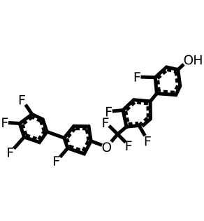 Oc1ccc(-c2cc(F)c(C(F)(F)Oc3ccc(-c4cc(F)c(F)c(F)c4)c(F)c3)c(F)c2)c(F)c1